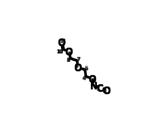 O=C=NOCCOCCOC=O